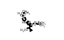 COCC(c1cn(COCC[Si](C)(C)C)c2ncc(NC3CCN(C(=O)OC(C)(C)C)CC3)cc12)C1CC1